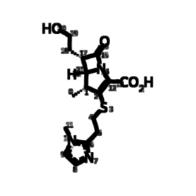 C[C@H]1C(SCCc2nccn2C)=C(C(=O)O)N2C(=O)[C@@H](CCO)[C@@H]12